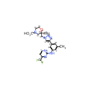 Cc1cc(Nc2nccc(C(F)F)n2)cc(-c2cn(CC3(C(C)(C)C)CN(C(=O)O)CCO3)nn2)c1